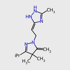 C=C1N(C/C=C2\N=C(C)NN2)N=C(C(C)C)C1(C)C